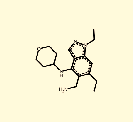 CCc1cc2c(cnn2CC)c(NC2CCOCC2)c1CN